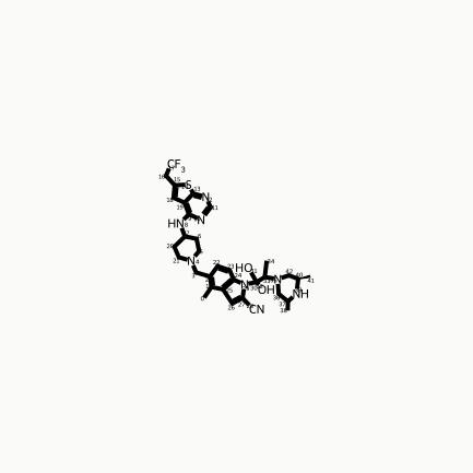 Cc1c(CN2CCC(Nc3ncnc4sc(CC(F)(F)F)cc34)CC2)ccc2c1cc(C#N)n2C(O)(O)C(C)N1CC(C)N[C@H](C)C1